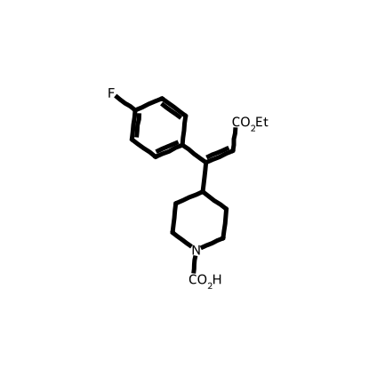 CCOC(=O)/C=C(\c1ccc(F)cc1)C1CCN(C(=O)O)CC1